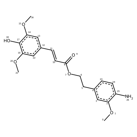 COc1cc(CCOC(=O)/C=C/c2cc(OC)c(O)c(OC)c2)ccc1N